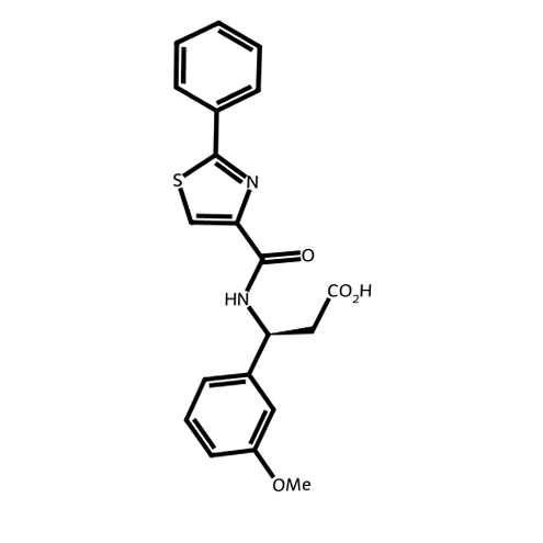 COc1cccc([C@H](CC(=O)O)NC(=O)c2csc(-c3ccccc3)n2)c1